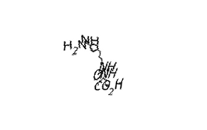 C=CCC(CC(=O)O)NC(=O)NCCCCc1ccc(C(=N)N)cc1